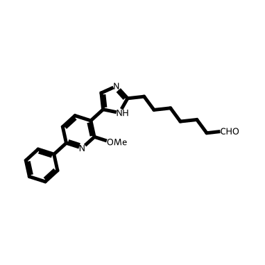 COc1nc(-c2ccccc2)ccc1-c1cnc(CCCCCCC=O)[nH]1